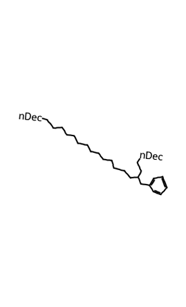 CCCCCCCCCCCCCCCCCCCCCCCCC(CCCCCCCCCCCC)Cc1ccccc1